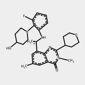 Cc1cc([C@@H](C)Nc2cccc(F)c2N2CCC(O)CC2)c2nc(C3CCOCC3)n(C)c(=O)c2c1